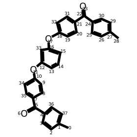 Cc1ccc(C(=O)c2ccc(Oc3cccc(Oc4ccc(C(=O)c5ccc(C)cc5)cc4)c3)cc2)cc1